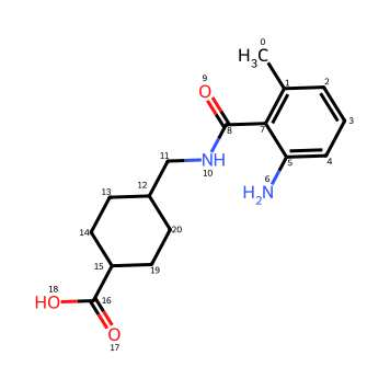 Cc1cccc(N)c1C(=O)NCC1CCC(C(=O)O)CC1